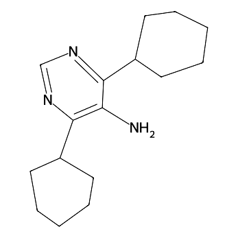 Nc1c(C2CCCCC2)ncnc1C1CCCCC1